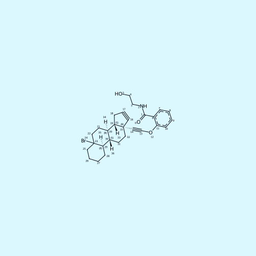 O=C(NCCO)c1ccccc1OC#C[C@@]12C#CC[C@H]1[C@@H]1CCC3(Br)CCCC[C@@H]3[C@H]1CC2